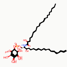 CCCCCCCCCCCCCCCCCCC(O)C(=O)N[C@@H](COP(=O)(O)OC1C(O)C(O)C(O)[C@@H](O)C1O)[C@H](O)CCCCCCCCCCCCCCC